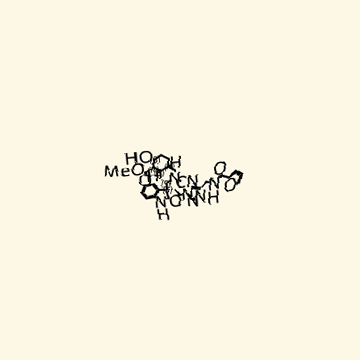 COC(=O)[C@@H]1[C@H]2C[C@@H]([C@@]3(CCn4cc(CNC(=O)c5ccco5)nn4)C(=O)Nc4ccccc43)N(C#N)C[C@@H]2CC[C@@H]1O